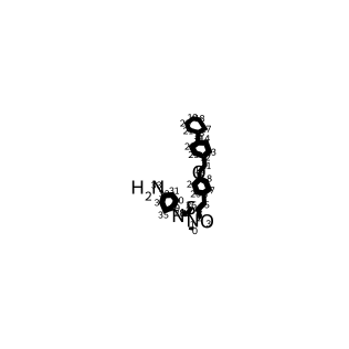 CN1C(=O)C(=Cc2ccc(OCc3ccc(C4CCCCC4)cc3)cc2)SC1=Nc1ccc(N)cc1